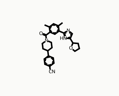 Cc1cc(C)c(-c2ncc(C3CCCO3)[nH]2)cc1C(=O)N1CCC(c2ccc(C#N)cc2)CC1